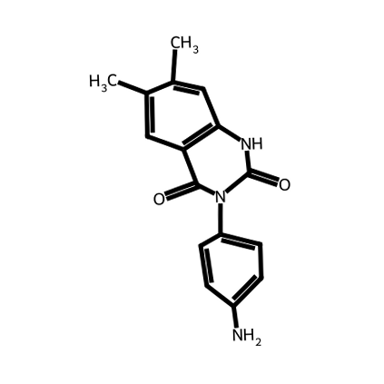 Cc1cc2[nH]c(=O)n(-c3ccc(N)cc3)c(=O)c2cc1C